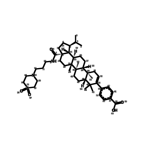 CC(C)[C@@H]1CC[C@]2(C(=O)NCCCN3CCS(=O)(=O)CC3)CC[C@]3(C)[C@H](CC[C@@H]4[C@@]5(C)CC=C(c6ccc(C(=O)O)cc6)C(C)(C)[C@@H]5CC[C@]43C)[C@@H]12